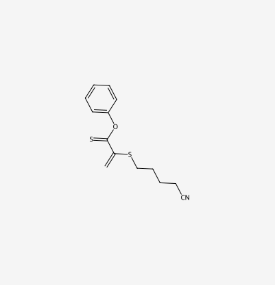 C=C(SCCCCC#N)C(=S)Oc1ccccc1